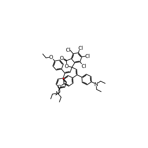 CCOc1ccc(/C(=C\C2(/C=C(\c3ccc(OCC)cc3)c3ccc(N(CC)CC)cc3)OC(=O)c3c(Cl)c(Cl)c(Cl)c(Cl)c32)c2ccc(N(CC)CC)cc2)cc1